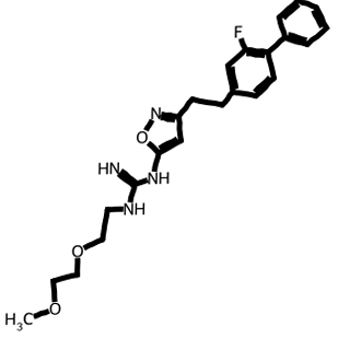 COCCOCCNC(=N)Nc1cc(CCc2ccc(-c3ccccc3)c(F)c2)no1